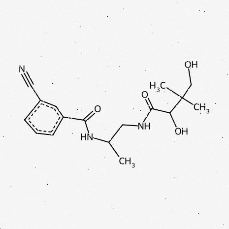 CC(CNC(=O)C(O)C(C)(C)CO)NC(=O)c1cccc(C#N)c1